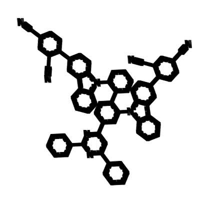 N#Cc1ccc(-c2ccc3c(c2)c2ccccc2n3-c2ccccc2-c2ccc(-c3cc(-c4ccccc4)nc(-c4ccccc4)n3)cc2-n2c3ccccc3c3cc(-c4ccc(C#N)cc4C#N)ccc32)c(C#N)c1